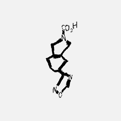 O=C(O)N1Cc2ccc(-c3ncon3)cc2C1